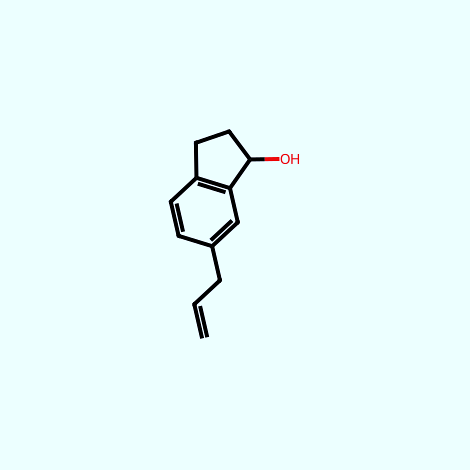 C=CCc1ccc2c(c1)C(O)CC2